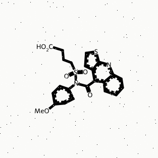 COc1ccc(N(C(=O)c2c3ccccc3nc3sccc23)S(=O)(=O)CCCC(=O)O)cc1